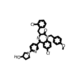 COc1ccc(CN2C(=O)C(Cc3ccccc3Cl)N=C(c3ccc(N4CCC(O)C4)nc3)c3cc(Cl)ccc32)cc1